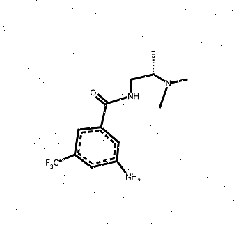 C[C@@H](CNC(=O)c1cc(N)cc(C(F)(F)F)c1)N(C)C